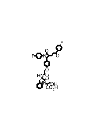 O=C(COc1ccc(C2C(CCC(=O)c3ccc(F)cc3)C(=O)N2c2ccc(F)cc2)cc1)N[C@@H](Cc1ccccc1)C(=O)N[C@H](CO)C(=O)O